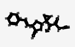 CCN(C(=O)OC(C)(C)C)C1([C@@H]2CC(=O)N(C=Cc3ccccc3)C2)CC1